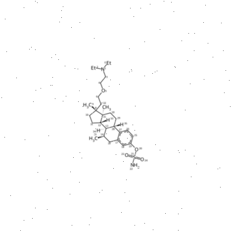 CCN(CC)CCOCC[C@@]1(C)CC[C@H]2[C@@H]3[C@H](C)Cc4cc(OS(N)(=O)=O)ccc4[C@H]3CC[C@@]21C